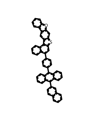 c1ccc2cc(-c3c4ccccc4c(-c4ccc(-c5cc6sc7cc8oc9ccccc9c8cc7c6c6ccccc56)cc4)c4ccccc34)ccc2c1